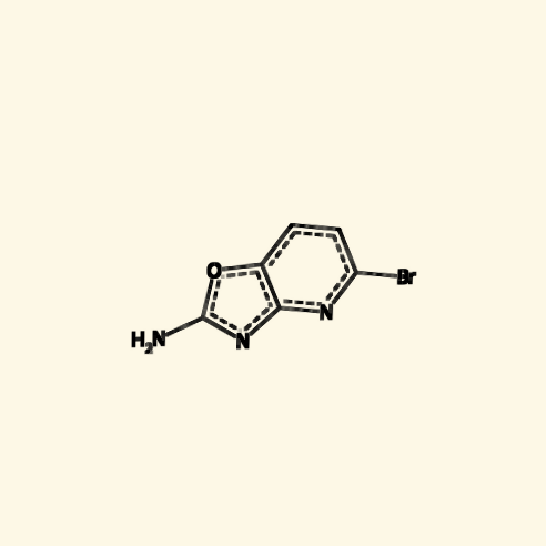 Nc1nc2nc(Br)ccc2o1